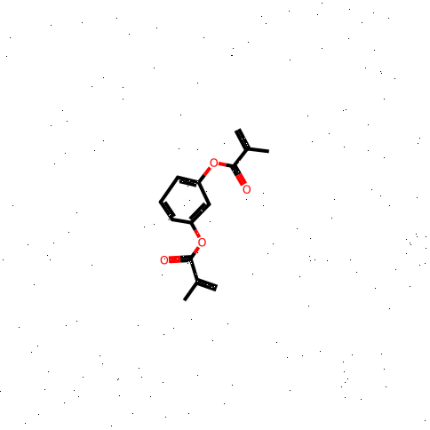 C=C(C)C(=O)Oc1[c]ccc(OC(=O)C(=C)C)c1